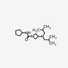 CC(C)CN(CC(C)C)C1CN(C(=O)NC2CCCC2)C1